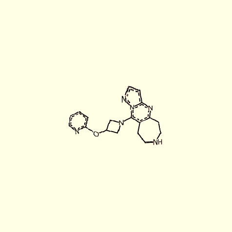 c1ccc(OC2CN(c3c4c(nc5ccnn35)CCNCC4)C2)nc1